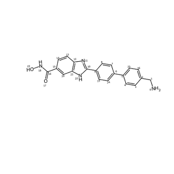 NCc1ccc(-c2ccc(-c3nc4ccc(C(=O)NO)cc4[nH]3)cc2)cc1